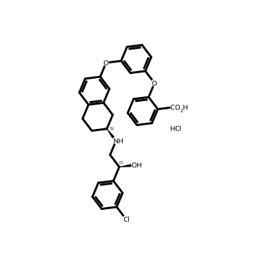 Cl.O=C(O)c1ccccc1Oc1cccc(Oc2ccc3c(c2)C[C@@H](NC[C@@H](O)c2cccc(Cl)c2)CC3)c1